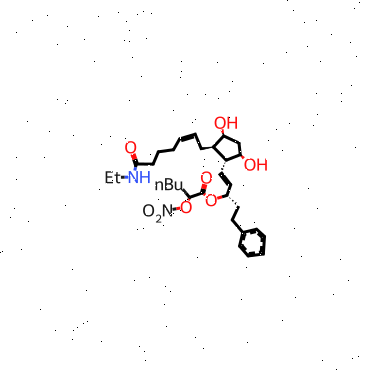 CCCCC(O[N+](=O)[O-])C(=O)O[C@H](/C=C/[C@@H]1[C@@H](C/C=C\CCCC(=O)NCC)[C@@H](O)C[C@H]1O)CCc1ccccc1